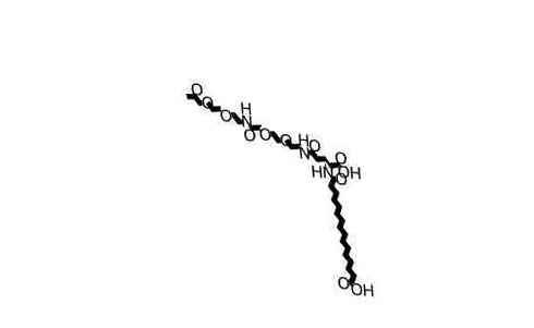 CC(=O)COCCOCCNC(=O)COCCOCCNC(=O)CC[C@H](NC(=O)CCCCCCCCCCCCCCC(=O)O)C(=O)O